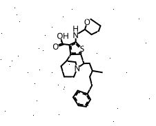 CC(CCc1ccccc1)CC1c2sc(NC3CCCCO3)c(C(=O)O)c2C2CCCN1C2